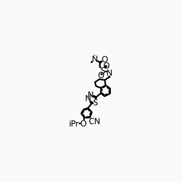 CC(C)Oc1ccc(-c2nnc(-c3cccc4c3CCCC4/C=N\S(=O)(=O)CC(=O)N(C)C)s2)cc1C#N